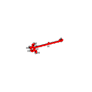 O=C(CCOCCOCCOCCOCCOCCC(=O)Oc1c(F)c(F)cc(F)c1F)NCCOCCOCCOCCOCCOCCNC(=O)COc1cc(CN(Cc2cccc(C(=O)O)n2)Cc2cccc(C(=O)O)n2)nc(CN(Cc2cccc(C(=O)O)n2)Cc2cccc(C(=O)O)n2)c1